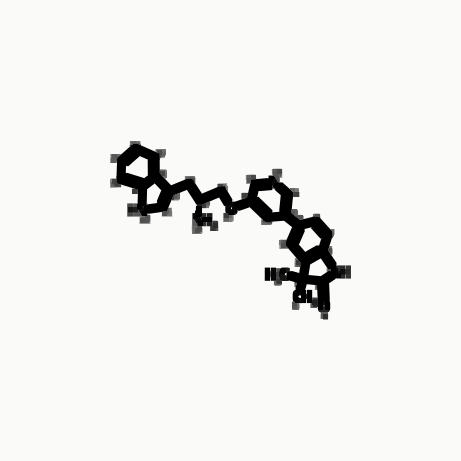 CC1(C)C(=O)Nc2ccc(-c3cncc(OC[C@H](N)Cc4c[nH]c5ccccc45)c3)cc21